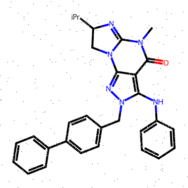 CC(C)C1CN2C(=N1)N(C)C(=O)c1c2nn(Cc2ccc(-c3ccccc3)cc2)c1Nc1ccccc1